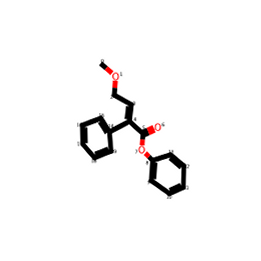 COCC=C(C(=O)Oc1ccccc1)c1ccccc1